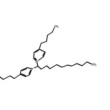 CCCCCCCCCCCC([n+]1ccc(CCCCC)cc1)[n+]1ccc(CCCCC)cc1